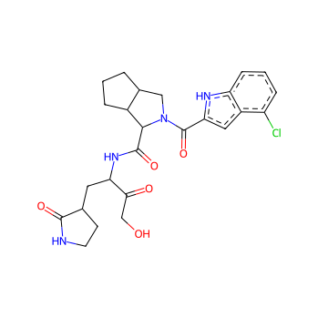 O=C1NCCC1CC(NC(=O)C1C2CCCC2CN1C(=O)c1cc2c(Cl)cccc2[nH]1)C(=O)CO